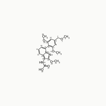 COCc1cc(OC)c(-c2cccc3c(NC(=O)O)c(OC)nn23)c(OC)c1